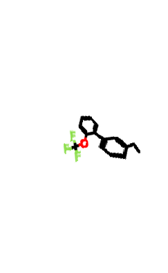 CCc1cccc(-c2ccccc2OC(F)(F)F)c1